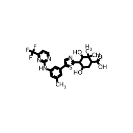 Cc1cc(Nc2nccc(C(F)(F)F)n2)cc(-c2cnc(C3C(O)CC(C(=O)O)C(C)(C)C3O)s2)c1